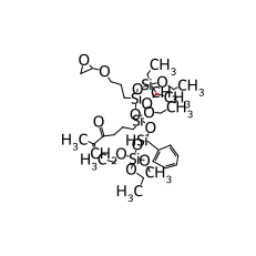 C=C(C)C(=O)CCC[Si](OCC)(O[SiH](O[Si](OC)(OCC)OCC)c1ccccc1)O[Si](CCCOC1CO1)(OCC)O[Si](C)(CC)OCC